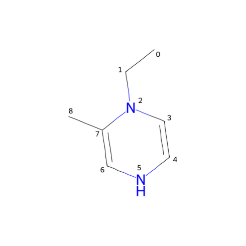 CCN1C=CNC=C1C